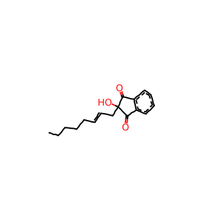 CCCCCC=CCC1(O)C(=O)c2ccccc2C1=O